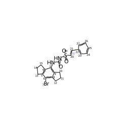 O=C(Nc1c2c(c(Br)c3c1CCC3)CCC2)NS(=O)(=O)/C=C/c1ccccc1